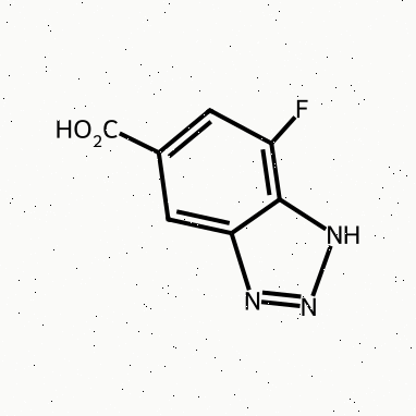 O=C(O)c1cc(F)c2[nH]nnc2c1